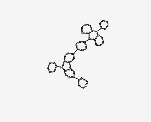 c1ccc(-c2c3ccccc3c(-c3ccc(-c4ccc5c(c4)c4cc(-c6ccccn6)ncc4n5-c4ccccc4)cc3)c3ccccc23)cc1